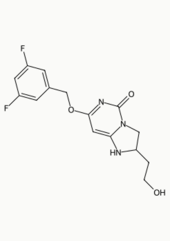 O=c1nc(OCc2cc(F)cc(F)c2)cc2n1CC(CCO)N2